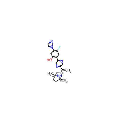 C=C(c1cnc(-c2cc(F)c(-n3ccnc3)cc2O)cn1)[C@H]1C[C@]2(C)CC[C@](C)(C1)N2